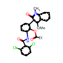 CCC(=O)Oc1c(NC(=O)c2c(Cl)cccc2Cl)cccc1-c1c(OC)c2ccccc2n(C)c1=O